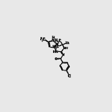 CCC(C)(C)N/C(=N/C(=O)c1ccc(Cl)cc1)Nc1cc(C(F)(F)F)[nH]n1